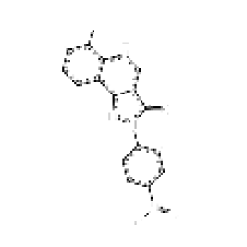 O=c1c2c[nH]c3c(F)cccc3c-2nn1-c1ccc([N+](=O)[O-])cc1